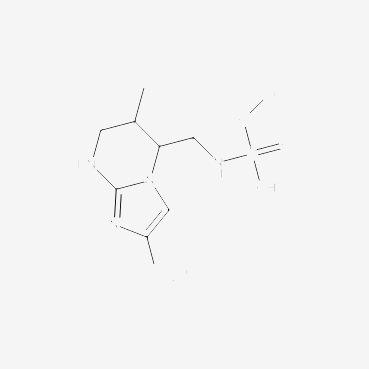 CCOC(=O)c1cn2c(n1)NCC(C)C2CNP(=O)(O)OCC